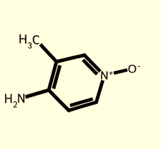 Cc1c[n+]([O-])ccc1N